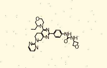 CCC1COCCN1c1nc(-c2ccc(NC(=O)NC3COC3)cc2)nc2c1CCN(c1ncccn1)C2